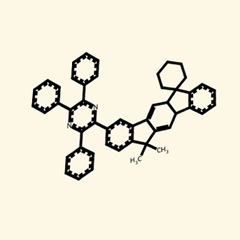 CC1(C)C2=CC3c4ccccc4C4(CCCCC4)C3C=C2c2cc(-c3nc(-c4ccccc4)c(-c4ccccc4)nc3-c3ccccc3)ccc21